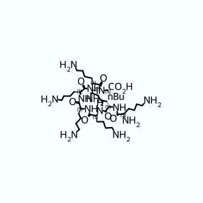 CCCC[C@H](NC(=O)[C@H](CCCCN)NC(=O)[C@H](CCCCN)NC(=O)[C@H](CCCCN)NC(=O)[C@H](CCCCN)NC(=O)[C@H](CCCCN)NC(=O)[C@@H](N)CCCCN)C(=O)O